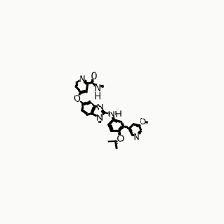 CNC(=O)c1cc(Oc2ccc3c(c2)nc(Nc2ccc(OC(C)C)c(-c4cncc(OC)c4)c2)n3C)ccn1